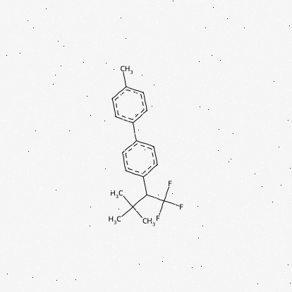 Cc1ccc(-c2ccc(C(C(C)(C)C)C(F)(F)F)cc2)cc1